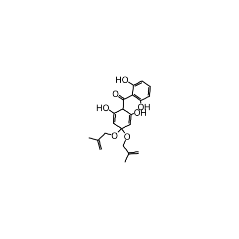 C=C(C)COC1(OCC(=C)C)C=C(O)C(C(=O)c2c(O)cccc2O)C(O)=C1